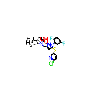 CC(C)(C)CN(Cc1cc(Sc2ccc(Cl)nc2)n(-c2cc(F)ccc2F)n1)C(=O)O